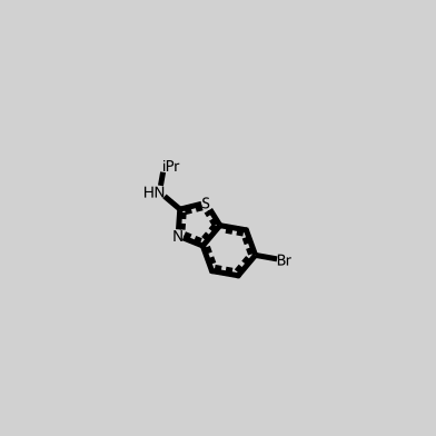 CC(C)Nc1nc2ccc(Br)cc2s1